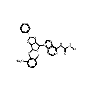 CCNC(=O)Nc1ncnc2c1ncn2C1OC(Oc2c(F)cccc2C(=O)O)C2O[C@H](c3ccccc3)OC21